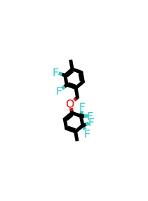 CC1=CC=C(OCc2ccc(C)c(F)c2F)C(F)(F)C1(F)F